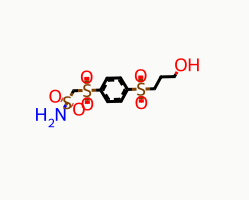 NS(=O)(=O)CS(=O)(=O)c1ccc(S(=O)(=O)CCCO)cc1